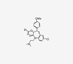 CCC(=O)O[C@@H]1C(=O)N(CCN(C)C)c2ccc(Cl)cc2S[C@@H]1c1ccc(OC)cc1